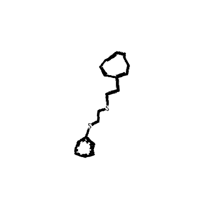 C1=C/CC\C=C(CCSCCSc2ccccc2)/C=C\1